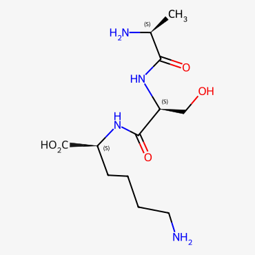 C[C@H](N)C(=O)N[C@@H](CO)C(=O)N[C@@H](CCCCN)C(=O)O